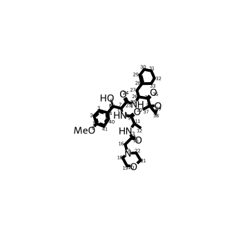 COc1ccc([C@@H](O)[C@H](NC(=O)C(C)NC(=O)CN2CCOCC2)C(=O)NC(CC2=CCCCC2)C(=O)C2(C)CO2)cc1